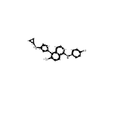 Cc1ccc2c(Nc3ccc(Cl)cc3)nccc2c1-c1cc(NC2CC2)cs1